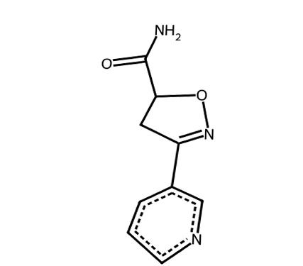 NC(=O)C1CC(c2cccnc2)=NO1